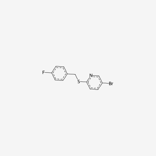 Fc1ccc(CSc2ccc(Br)cn2)cc1